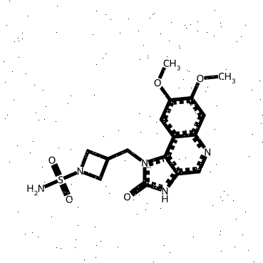 COc1cc2ncc3[nH]c(=O)n(CC4CN(S(N)(=O)=O)C4)c3c2cc1OC